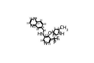 C[C@H]1C[C@@H](Oc2c(NCc3ccc4nccnc4c3)cncc2C(F)(F)F)CN1